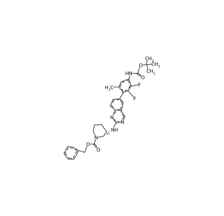 Cc1cc(NC(=O)OC(C)(C)C)c(F)c(F)c1-c1ccc2nc(N[C@H]3CCCN(C(=O)OCc4ccccc4)C3)ncc2c1